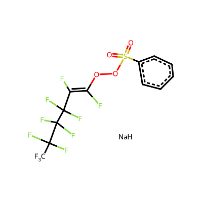 O=S(=O)(OOC(F)=C(F)C(F)(F)C(F)(F)C(F)(F)C(F)(F)F)c1ccccc1.[NaH]